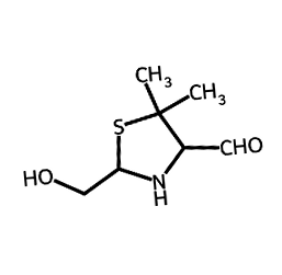 CC1(C)SC(CO)NC1C=O